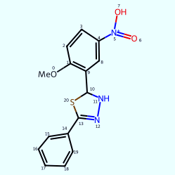 COc1ccc([N+](=O)O)cc1C1NN=C(c2ccccc2)S1